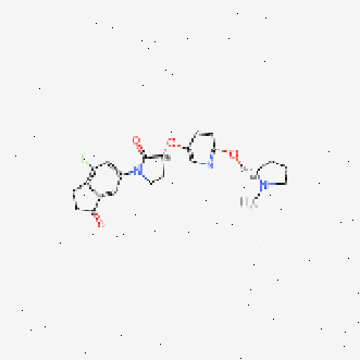 CN1CCC[C@H]1COc1ccc(O[C@@H]2CCN(c3cc(F)c4c(c3)C(=O)CC4)C2=O)cn1